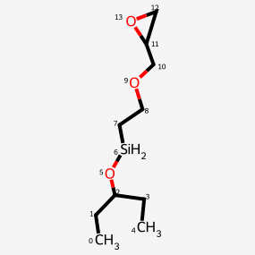 CCC(CC)O[SiH2]CCOCC1CO1